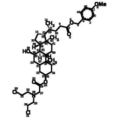 COc1ccc(COC(=O)CC[C@@H](C)[C@H]2CC[C@H]3[C@@H]4[C@H](O)CC5C[C@H](OC(=O)CN(CCCl)CCCl)CC[C@]5(C)[C@H]4CC[C@]23C)cc1